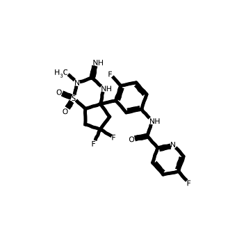 CN1C(=N)NC2(c3cc(NC(=O)c4ccc(F)cn4)ccc3F)CC(F)(F)CC2S1(=O)=O